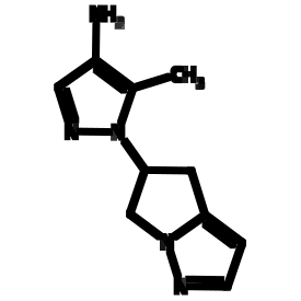 Cc1c(N)cnn1C1Cc2ccnn2C1